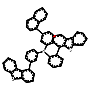 c1cc(-c2cccc3ccccc23)cc(N(c2cccc(-c3cccc4sc5ccccc5c34)c2)c2ccccc2-c2cccc3c2sc2ccccc23)c1